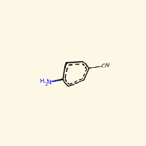 N#Cc1c[c]c(N)cc1